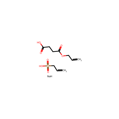 C=CCOC(=O)CCC(=O)O.C=CCS(=O)(=O)O.[NaH]